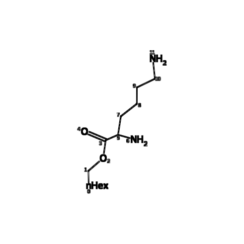 CCCCCCCOC(=O)C(N)CCCCN